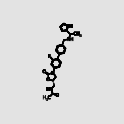 CC(=O)NC[C@H]1CN(c2ccc(-c3ccc(CNC(C)c4ccc[nH]4)cc3)c(F)c2)C(=O)O1